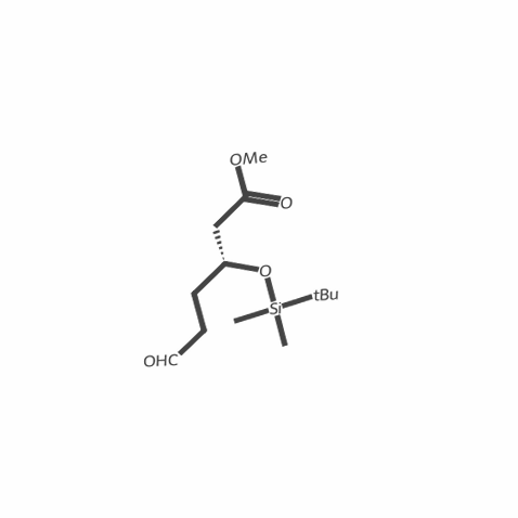 COC(=O)C[C@@H](CCC=O)O[Si](C)(C)C(C)(C)C